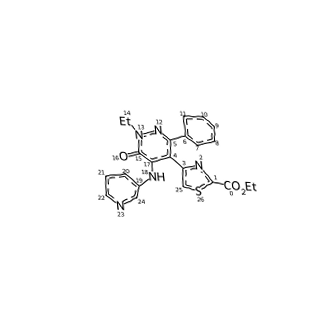 CCOC(=O)c1nc(-c2c(-c3ccccc3)nn(CC)c(=O)c2Nc2cccnc2)cs1